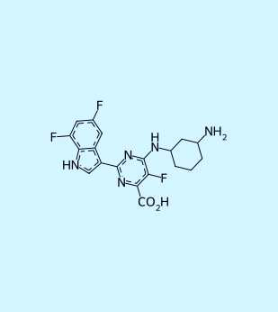 NC1CCCC(Nc2nc(-c3c[nH]c4c(F)cc(F)cc34)nc(C(=O)O)c2F)C1